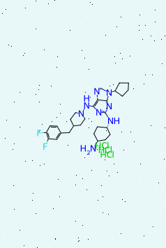 Cl.Cl.Cl.N[C@H]1CC[C@H](Nc2nc(NN3CCC(Cc4ccc(F)c(F)c4)CC3)c3ncn(C4CCCC4)c3n2)CC1